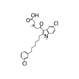 C[C@H](CC(=O)O)CC(=O)c1c(CCCCCCc2cccc(Cl)c2)n(C)c2ccc(Cl)cc12